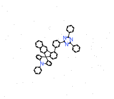 c1ccc(-c2nc(-c3ccccc3)nc(-c3cccc(-c4cccc5c4-c4cc6ccccc6cc4C54c5ccccc5N(c5ccccc5)c5ccccc54)c3)n2)cc1